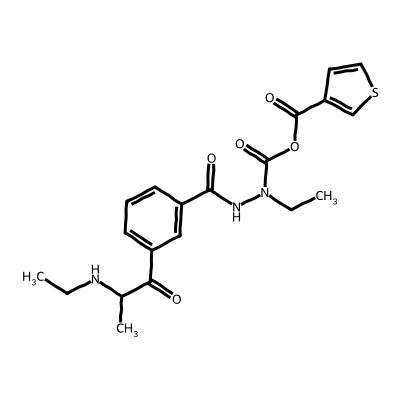 CCNC(C)C(=O)c1cccc(C(=O)NN(CC)C(=O)OC(=O)c2ccsc2)c1